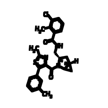 Cc1cccc(-c2sc(C)nc2C(=O)N2C3C[C@H]3C[C@H]2CNC(=O)c2cccc(Cl)c2C)c1